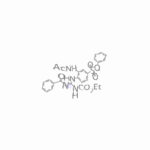 CCOC(=O)N/C(=N/C(=O)c1ccccc1)Nc1ccc(S(=O)(=O)Oc2ccccc2)cc1NC(C)=O